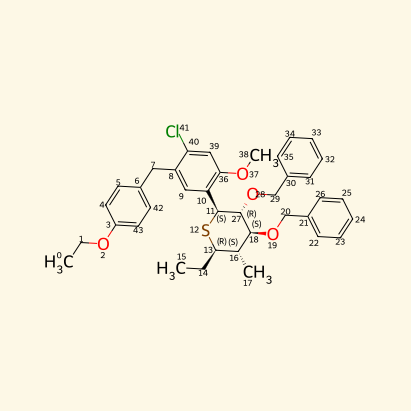 CCOc1ccc(Cc2cc([C@@H]3S[C@H](CC)[C@@H](C)[C@H](OCc4ccccc4)[C@H]3OCc3ccccc3)c(OC)cc2Cl)cc1